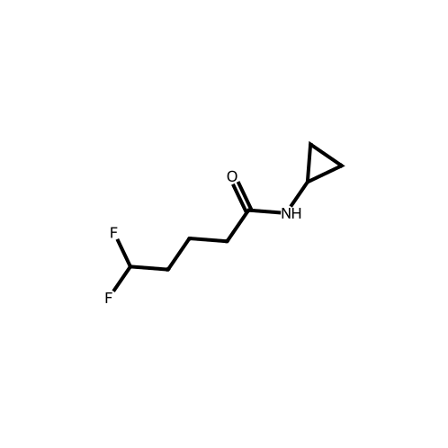 O=C(CCCC(F)F)NC1CC1